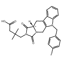 CC(C)(CC(=O)O)CN1C(=O)[C@@H]2Cc3c(n(Cc4ccc(F)cc4)c4ccccc34)CN2C1=O